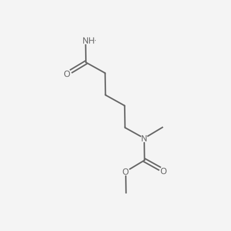 COC(=O)N(C)CCCCC([NH])=O